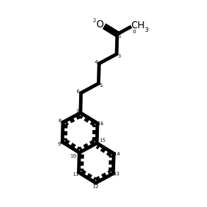 CC(=O)CCCCc1ccc2ccccc2c1